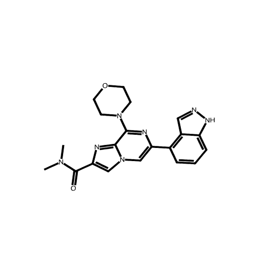 CN(C)C(=O)c1cn2cc(-c3cccc4[nH]ncc34)nc(N3CCOCC3)c2n1